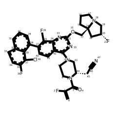 C=C(F)C(=O)N1CCN(c2nc(OC[C@@]34CCCN3C[C@H](F)C4)nc3c(F)c(-c4cccc5ccc(F)c(Cl)c45)ccc23)C[C@@H]1CC#N